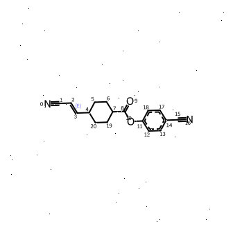 N#C/C=C/C1CCC(C(=O)Oc2ccc(C#N)cc2)CC1